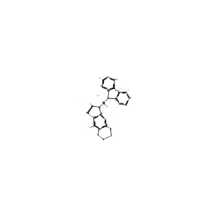 CC1=Cc2c(cc3c(c2Br)CCCC3)C1C(C)(C)C1c2ccccc2-c2ccccc21